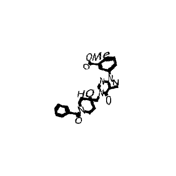 COC(=O)c1cccc(-n2ncc3c(=O)n(CC4(O)CCN(C(=O)c5ccccc5)CC4)cnc32)c1